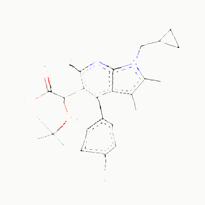 Cc1nc2c(c(C)c(C)n2CC2CC2)c(-c2ccc(Cl)cc2)c1C(OC(C)(C)C)C(=O)O